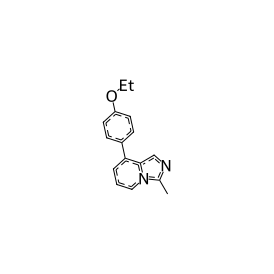 CCOc1ccc(-c2cccn3c(C)ncc23)cc1